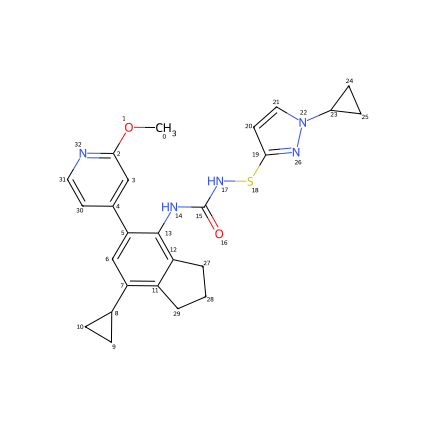 COc1cc(-c2cc(C3CC3)c3c(c2NC(=O)NSc2ccn(C4CC4)n2)CCC3)ccn1